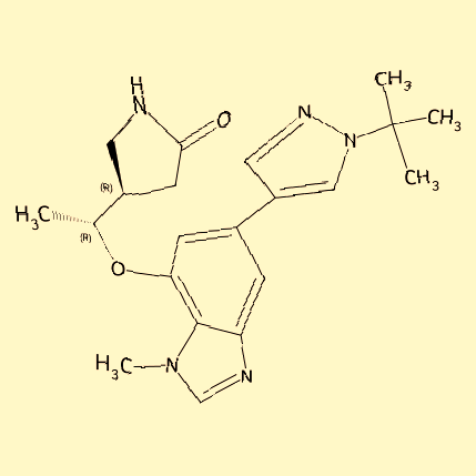 C[C@@H](Oc1cc(-c2cnn(C(C)(C)C)c2)cc2ncn(C)c12)[C@H]1CNC(=O)C1